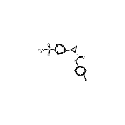 NS(=O)(=O)c1ccc([C@H]2C[C@@H]2C(=O)Nc2ccc(F)cc2)cc1